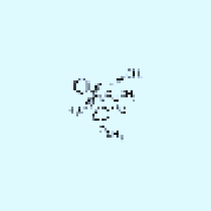 CC#CCON(c1c(C(=O)OC)cc(OC)nc1OC)S(=O)(=O)c1ccccc1